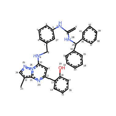 C=C(Nc1cccc(CNc2cc(-c3ccccc3O)nc3c(C)cnn23)c1)NC(c1ccccc1)c1ccccc1